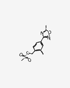 Cc1nc(-c2ccc(COS(C)(=O)=O)c(C)c2)no1